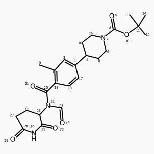 Cc1cc(C2CCN(C(=O)OC(C)(C)C)CC2)ccc1C(=O)N(C=O)C1CCC(=O)NC1=O